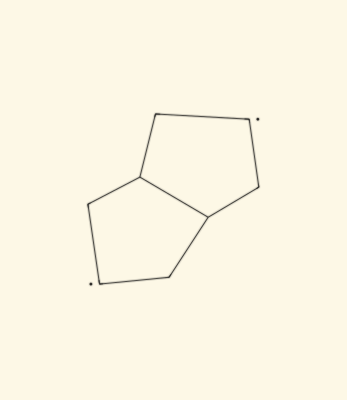 [CH]1CC2C[CH]CC2C1